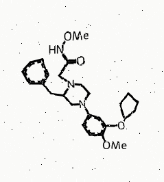 CONC(=O)CN1CCN(c2ccc(OC)c(OC3CCCC3)c2)CC1Cc1ccccc1